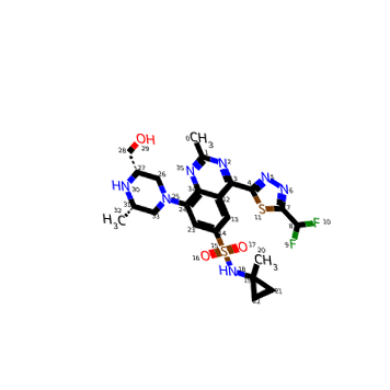 Cc1nc(-c2nnc(C(F)F)s2)c2cc(S(=O)(=O)NC3(C)CC3)cc(N3C[C@@H](CO)N[C@@H](C)C3)c2n1